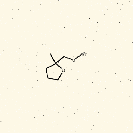 [CH2]CCOCC1(C)CCCO1